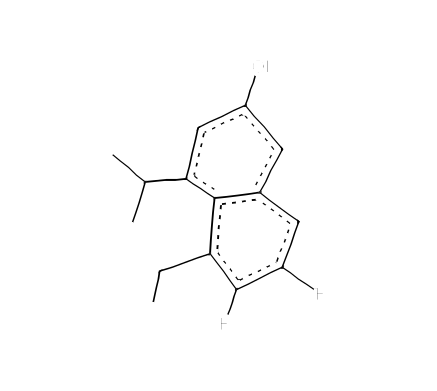 CCc1c(F)c(F)cc2cc(O)cc(C(C)C)c12